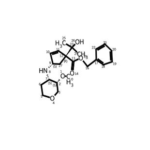 CO[C@@H]1COCC[C@@H]1N[C@@H]1C=C[C@@](C(=O)OCc2ccccc2)(C(C)(C)O)C1